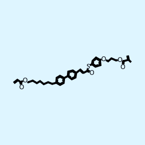 C=CC(=O)OCCCCCCCc1ccc(-c2ccc(/C=C/C(=O)Sc3ccc(OCCCOC(=O)C(=C)C)cc3)cc2)cc1